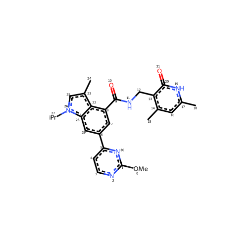 COc1nccc(-c2cc(C(=O)NCc3c(C)cc(C)[nH]c3=O)c3c(C)cn(C(C)C)c3c2)n1